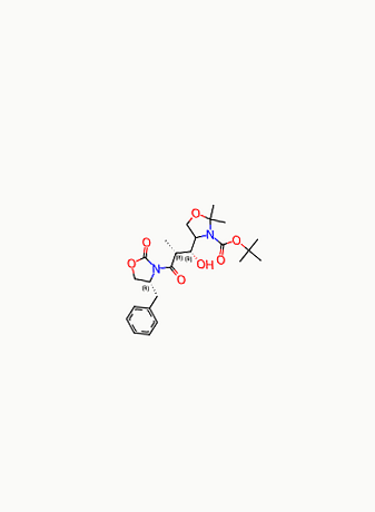 C[C@@H](C(=O)N1C(=O)OC[C@H]1Cc1ccccc1)[C@@H](O)C1COC(C)(C)N1C(=O)OC(C)(C)C